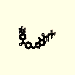 Cc1c(C(=O)NCC(F)(F)F)ccc2nn(CC3CCN(C(=O)c4ccc(S(F)(F)(F)(F)F)cc4)CC3)cc12